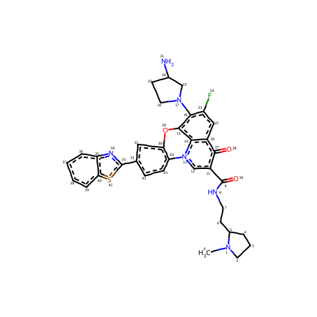 CN1CCCC1CCNC(=O)c1cn2c3c(c(N4CCC(N)C4)c(F)cc3c1=O)Oc1cc(-c3nc4ccccc4s3)ccc1-2